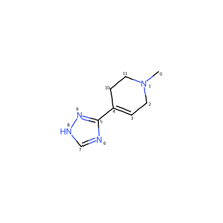 CN1CC=C(c2n[c][nH]n2)CC1